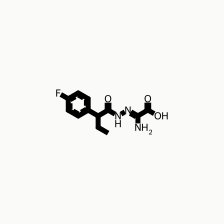 CCC(C(=O)NN=C(N)C(=O)O)c1ccc(F)cc1